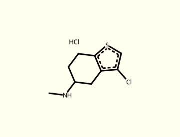 CNC1CCc2scc(Cl)c2C1.Cl